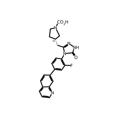 O=C(O)N1CC[C@@H](Cc2n[nH]c(=O)n2-c2ccc(-c3ccc4cccnc4c3)cc2F)C1